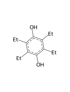 CCc1c(O)c(CC)c(CC)c(O)c1CC